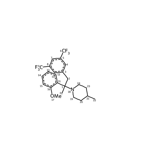 [CH2]C(Cc1cc(C(F)(F)F)cc(C(F)(F)F)c1)(c1ccccc1OC)N1CCC(C)CC1